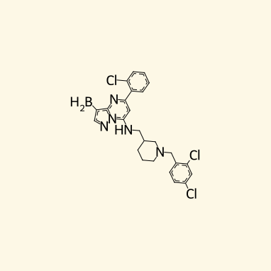 Bc1cnn2c(NCC3CCCN(Cc4ccc(Cl)cc4Cl)C3)cc(-c3ccccc3Cl)nc12